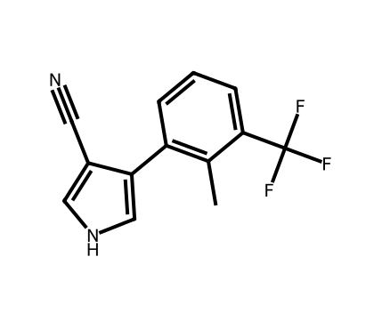 Cc1c(-c2c[nH]cc2C#N)cccc1C(F)(F)F